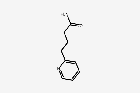 NC(=O)CC[CH]c1ccccn1